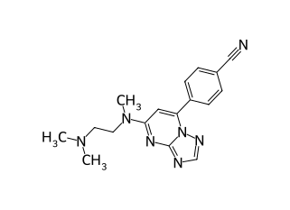 CN(C)CCN(C)c1cc(-c2ccc(C#N)cc2)n2ncnc2n1